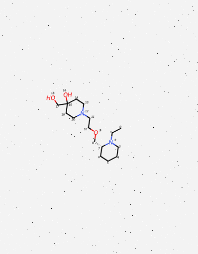 CCN1CCCC[C@@H]1COCCN1CCC(O)(CO)CC1